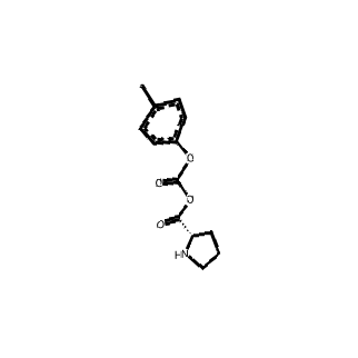 Cc1ccc(OC(=O)OC(=O)[C@@H]2CCCN2)cc1